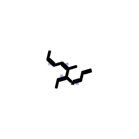 C=C\C=N/C(=C\C)C(/C)=C\C=C/C